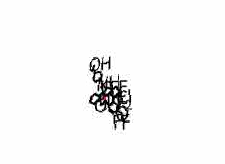 NC(=O)c1ccc(OC(F)F)c(F)c1-c1c(Cl)c(F)cc2c1C[C@@](CNC1CCC(CO)CC1)(c1ccccc1)O2